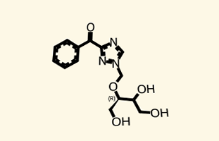 O=C(c1ccccc1)c1ncn(CO[C@H](CO)C(O)CO)n1